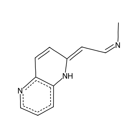 C/N=C\C=C1\C=Cc2ncccc2N1